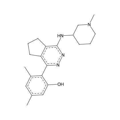 Cc1cc(C)c(-c2nnc(NC3CCCN(C)C3)c3c2CCC3)c(O)c1